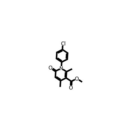 COC(=O)c1c(C)cc(=O)n(-c2ccc(Cl)cc2)c1C